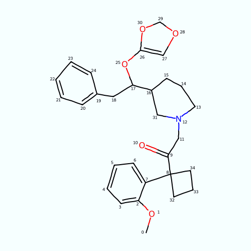 COc1ccccc1C1(C(=O)CN2CCCC(C(Cc3ccccc3)OC3=COCO3)C2)CCC1